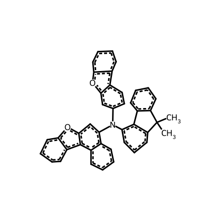 CC1(C)c2ccccc2-c2c(N(c3ccc4c(c3)oc3ccccc34)c3cc4oc5ccccc5c4c4ccccc34)cccc21